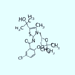 COc1ccc(Cl)cc1C(=O)N=c1sc(C(C)(C)O)c(C)n1C[C@@H]1COC(C)(C)O1